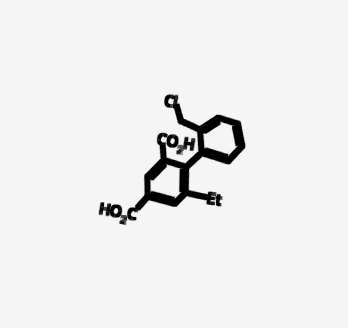 CCc1cc(C(=O)O)cc(C(=O)O)c1-c1ccccc1CCl